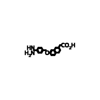 N=C(N)c1ccc(COc2ccc3c(c2)C=C(CC(=O)O)CC3)cc1